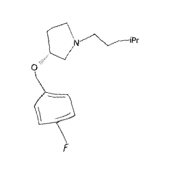 CC(C)CCN1CC[C@@H](Oc2ccc(F)cc2)C1